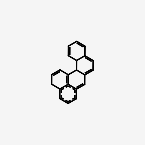 C1=CC2=CC=C3C=c4cccc5c4=C(C=CC5)C3C2C=C1